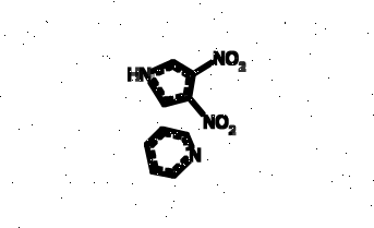 O=[N+]([O-])c1c[nH]cc1[N+](=O)[O-].c1ccncc1